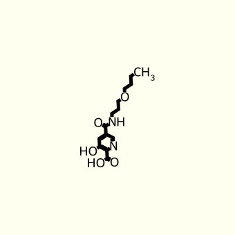 CCCCOCCCNC(=O)c1cnc(C(=O)O)c(O)c1